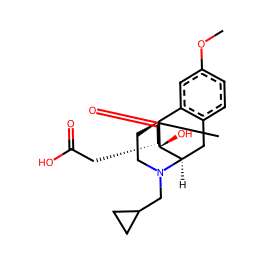 COc1ccc2c(c1)[C@]13CCN(CC4CC4)[C@H](C2)[C@]1(O)C[C@H](CC(=O)O)C(=O)C3